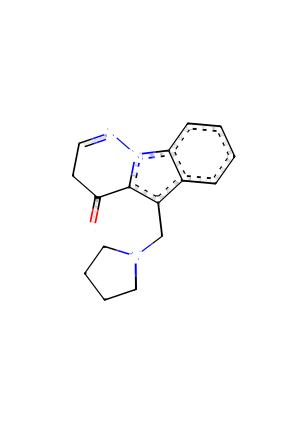 O=C1CC=Nn2c1c(CN1CCCC1)c1ccccc12